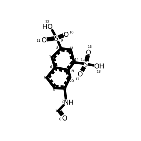 O=CNc1ccc2cc(S(=O)(=O)O)cc(S(=O)(=O)O)c2c1